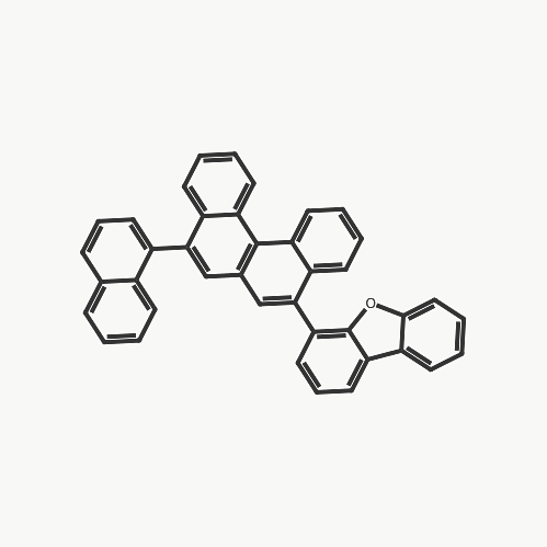 c1ccc2c(-c3cc4cc(-c5cccc6c5oc5ccccc56)c5ccccc5c4c4ccccc34)cccc2c1